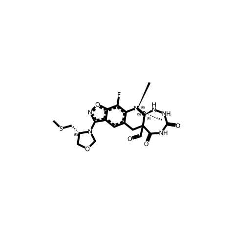 CSC[C@H]1COCN1c1noc2c(F)c3c(cc12)CC1(C=O)C(=O)NC(=O)NN[C@@]12[C@H](C)O[C@H](C)CN32